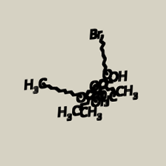 CCCCCCCCCCCOc1cc2oc3cc(OCCCCCCCCCCBr)c(CO)c(CC=C(C)C)c3c(=O)c2c(O)c1CC=C(C)C